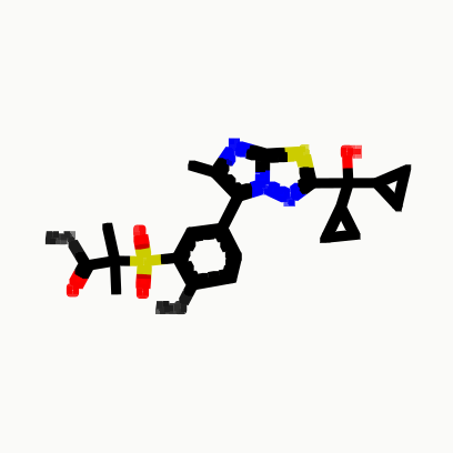 CNC(=O)C(C)(C)S(=O)(=O)c1cc(-c2c(C)nc3sc(C(O)(C4CC4)C4CC4)nn23)ccc1OC